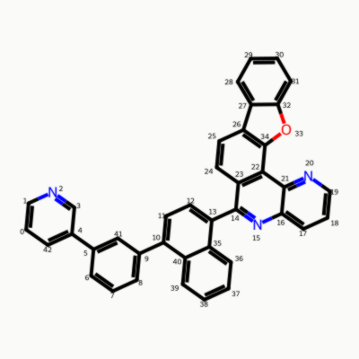 c1cncc(-c2cccc(-c3ccc(-c4nc5cccnc5c5c4ccc4c6ccccc6oc45)c4ccccc34)c2)c1